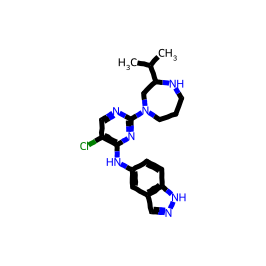 CC(C)C1CN(c2ncc(Cl)c(Nc3ccc4[nH]ncc4c3)n2)CCCN1